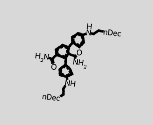 CCCCCCCCCCCCNc1ccc(-c2ccc(C(N)=O)c(-c3ccc(NCCCCCCCCCCCC)cc3)c2C(N)=O)cc1